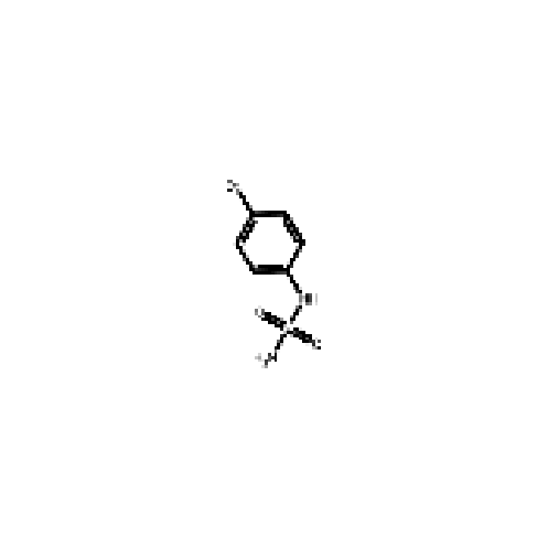 CCc1ccc(NS(N)(=O)=O)cc1